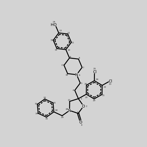 O=C1OC(CCN2CCC(c3ccc(O)cc3)CC2)(c2ccc(Cl)c(Cl)c2)CN1Cc1ccccc1